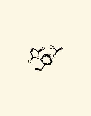 C=C(CC)C(=O)O.C=Cc1ccccc1.O=C1C=CC(=O)O1